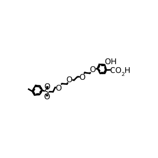 Cc1ccc(S(=O)(=O)CCOCCOCCOCCOc2ccc(C(=O)O)c(O)c2)cc1